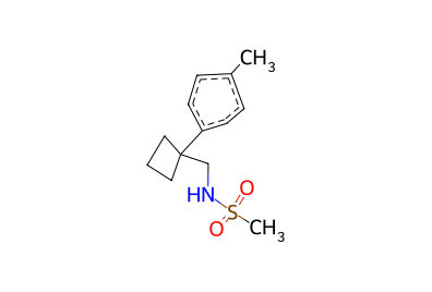 Cc1ccc(C2(CNS(C)(=O)=O)CCC2)cc1